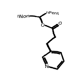 CCCCCCCCCC(CCCCC)OC(=O)CCc1cccnc1